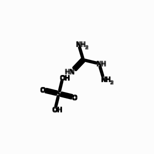 N=C(N)NN.O=S(=O)(O)O